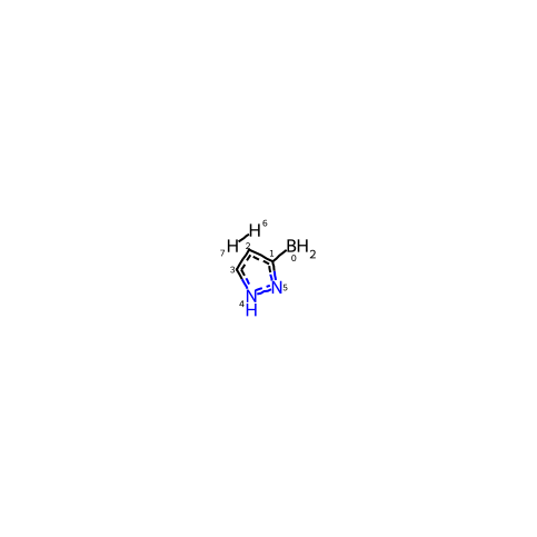 Bc1cc[nH]n1.[H][H]